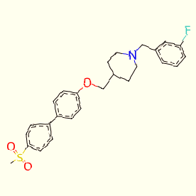 CS(=O)(=O)c1ccc(-c2ccc(OCC3CCN(Cc4cccc(F)c4)CC3)cc2)cc1